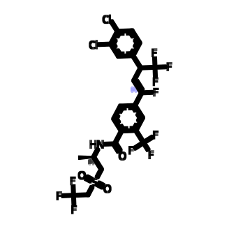 C[C@H](CS(=O)(=O)CC(F)(F)F)NC(=O)c1ccc(/C(F)=C/C(c2ccc(Cl)c(Cl)c2)C(F)(F)F)cc1C(F)(F)F